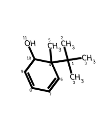 CC(C)(C)C1(C)C=CC=CC1O